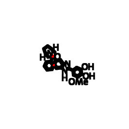 COc1cc(-c2nc3cc(N4C[C@H]5CC[C@@H](C4)N5C(=O)c4ccccc4)ccc3[nH]2)cc(O)c1O